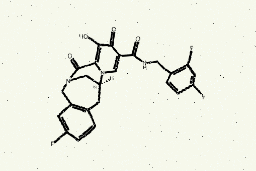 O=C(NCc1ccc(F)cc1F)c1cn2c(c(O)c1=O)C(=O)N1Cc3cc(F)ccc3C[C@H]2C1